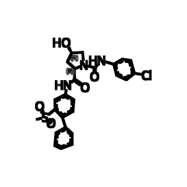 CS(=O)(=O)c1cc(NC(=O)[C@H]2C[C@@H](O)CN2C(=O)Nc2ccc(Cl)cc2)ccc1-c1ccccc1